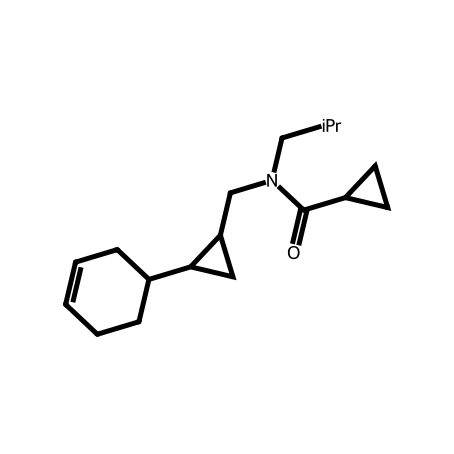 CC(C)CN(CC1CC1C1CC=CCC1)C(=O)C1CC1